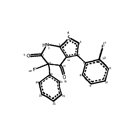 O=C1Nc2scc(-c3ccccc3F)c2C(=O)C1(F)c1ccccc1